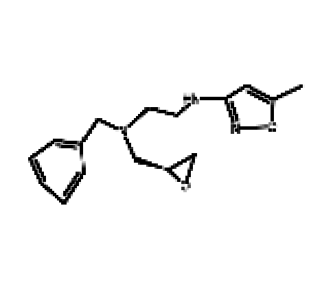 Cc1cc(NCCN(Cc2ccccc2)C[C@H]2CO2)no1